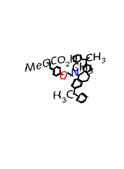 COC(Cc1ccc(OCCN(C)C2c3ccc(C(C)c4ccccc4)cc3CCc3ccc(C(C)c4ccccc4)cc32)cc1)C(=O)O